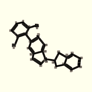 CCc1cccc(CC)c1-c1cc2ccn(C3Cc4ccccc4C3)c2cn1